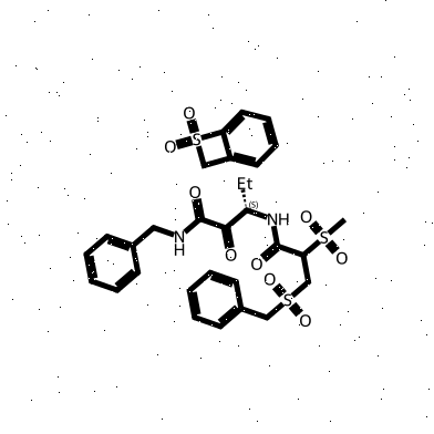 CC[C@H](NC(=O)C(CS(=O)(=O)Cc1ccccc1)S(C)(=O)=O)C(=O)C(=O)NCc1ccccc1.O=S1(=O)Cc2ccccc21